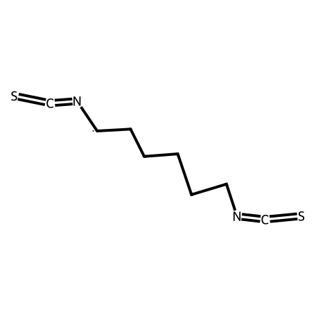 S=C=N[CH]CCCCCN=C=S